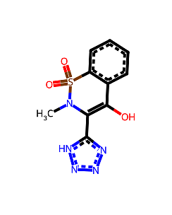 CN1C(c2nnn[nH]2)=C(O)c2ccccc2S1(=O)=O